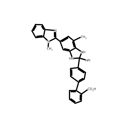 CCCC1(c2ccc(-c3ccccc3C(=O)O)cc2)Nc2cc(-c3nc4ccccc4n3C)cc(C)c2N1